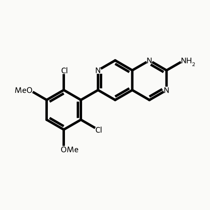 COc1cc(OC)c(Cl)c(-c2cc3cnc(N)nc3cn2)c1Cl